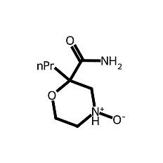 CCCC1(C(N)=O)C[NH+]([O-])CCO1